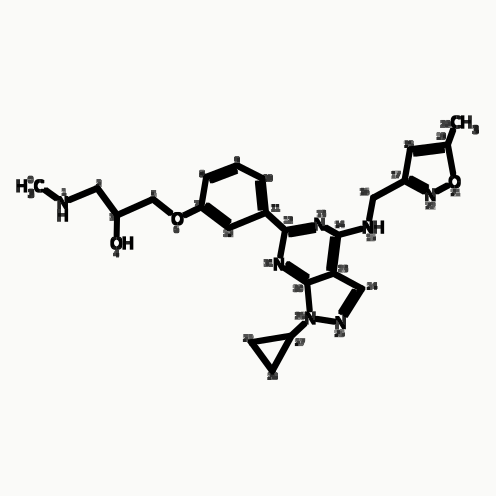 CNCC(O)COc1cccc(-c2nc(NCc3cc(C)on3)c3cnn(C4CC4)c3n2)c1